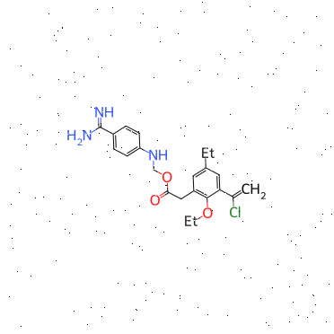 [CH2]COc1c(CC(=O)OCNc2ccc(C(=N)N)cc2)cc(CC)cc1C(=C)Cl